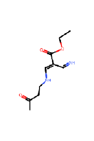 CCOC(=O)/C(C=N)=C/NCCC(C)=O